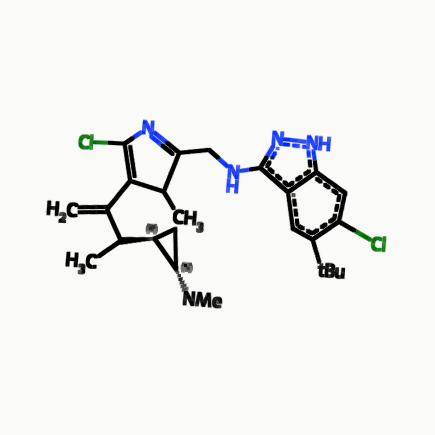 C=C(C1=C(Cl)N=C(CNc2n[nH]c3cc(Cl)c(C(C)(C)C)cc23)C1C)C(C)[C@H]1C[C@@H]1NC